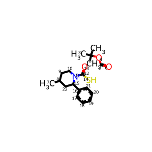 CC(C)(C)OC=O.CC1CCN(C(=O)S)C(c2ccccc2)C1